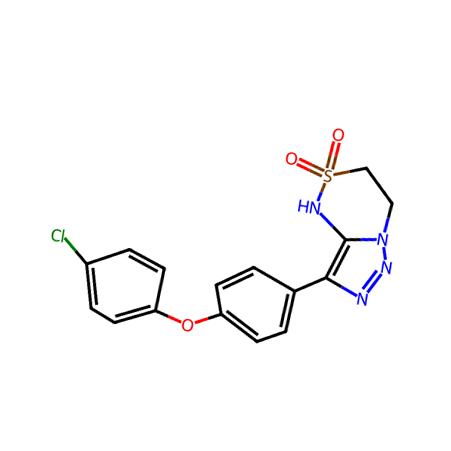 O=S1(=O)CCn2nnc(-c3ccc(Oc4ccc(Cl)cc4)cc3)c2N1